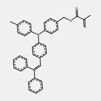 C=C(C)C(=O)OCc1ccc(N(c2ccc(C)cc2)c2ccc(C=C(c3ccccc3)c3ccccc3)cc2)cc1